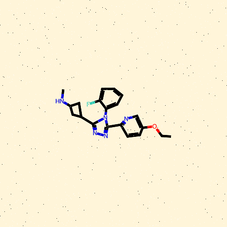 CCOc1ccc(-c2nnc(C3CC(NC)C3)n2-c2ccccc2F)nc1